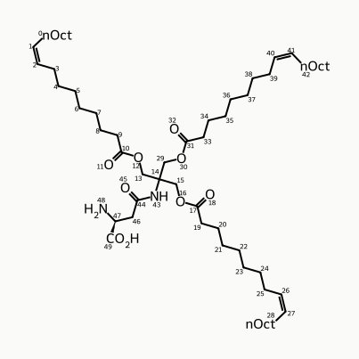 CCCCCCCC/C=C\CCCCCCCC(=O)OCC(COC(=O)CCCCCCC/C=C\CCCCCCCC)(COC(=O)CCCCCCC/C=C\CCCCCCCC)NC(=O)C[C@H](N)C(=O)O